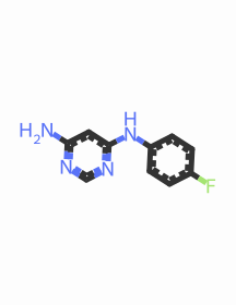 Nc1cc(Nc2ccc(F)cc2)ncn1